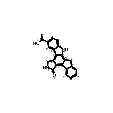 CC(O)c1ccc2[nH]c3c4c(c5c(c3c2c1)CNC5=O)-c1ccccc1C4